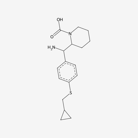 NC(c1ccc(SCC2CC2)cc1)C1CCCCN1C(=O)O